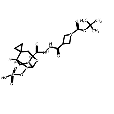 CC(C)(C)OC(=O)N1CC(C(=O)NNC(=O)[C@]23CC4(CC4)[C@H]4CN2C(O3)N4OS(=O)(=O)O)C1